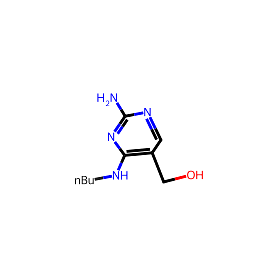 CCCCNc1nc(N)ncc1CO